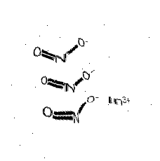 O=N[O-].O=N[O-].O=N[O-].[In+3]